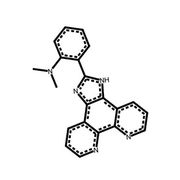 CN(C)c1ccccc1-c1nc2c3cccnc3c3ncccc3c2[nH]1